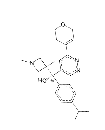 CC(C)c1ccc([C@](O)(c2cnnc(C3=CCOCC3)c2)C2(C)CN(C)C2)cc1